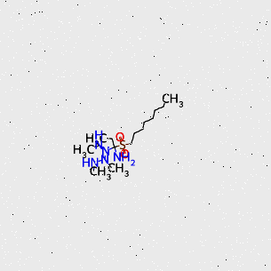 CCCCCCCCS(=O)(=O)C(N)(CC)N(NC)N(C)NC